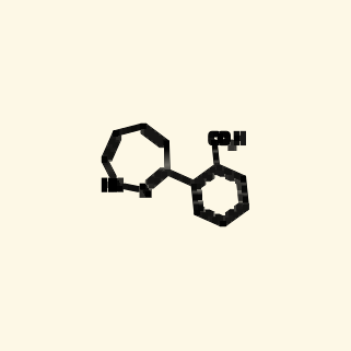 O=C(O)c1ccccc1C1=NNC=CC=C1